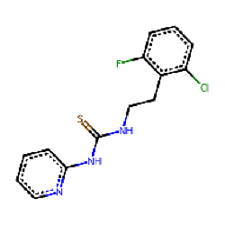 Fc1cccc(Cl)c1CCNC(=S)Nc1ccccn1